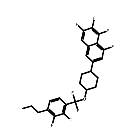 CCCc1ccc(C(F)(F)OC2CCC(c3cc(F)c4c(F)c(F)c(F)cc4c3)CC2)c(F)c1F